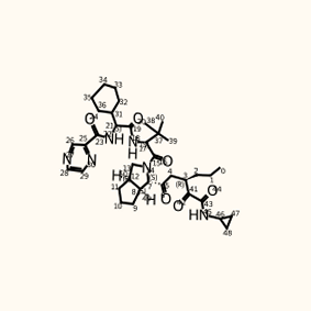 CCC[C@H](CC(=O)[C@@H]1[C@H]2CCC[C@H]2CN1C(=O)[C@@H](NC(=O)[C@@H](NC(=O)c1cnccn1)C1CCCCC1)C(C)(C)C)C(=O)C(=O)NC1CC1